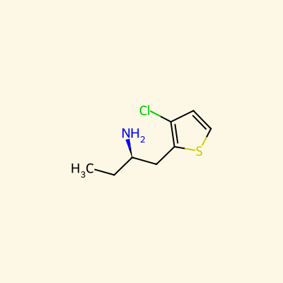 CC[C@@H](N)Cc1sccc1Cl